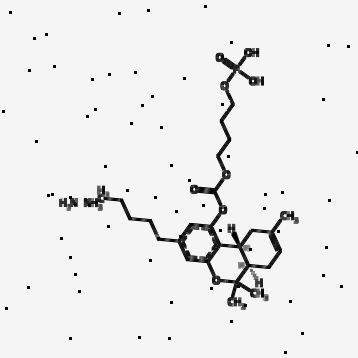 CCCCCc1cc(OC(=O)OCCCCOP(=O)(O)O)c2c(c1)OC(C)(C)[C@@H]1CC=C(C)C[C@@H]21.N.N